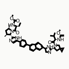 C=C(N[C@H](C(=O)N1CC2(CC2)C[C@H]1C1=NCC(c2ccc3cc(-c4ccc(-c5cnc([C@@H]6[C@@H](C)C[C@@H](C)N6C(=O)[C@H](CC)NC(=O)OC)[nH]5)cc4)ccc3c2)N1)C(C)C)OC